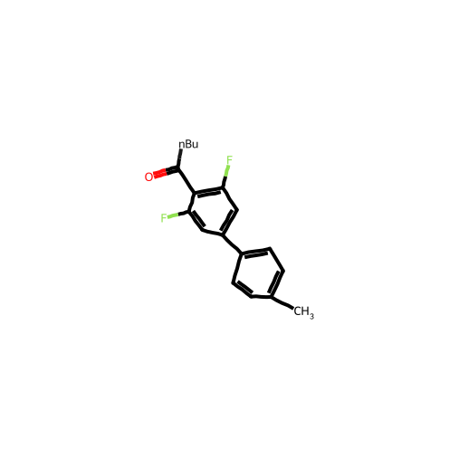 CCCCC(=O)c1c(F)cc(-c2ccc(C)cc2)cc1F